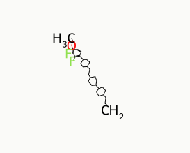 C=CCCC1CCC(C2CCC(CCC3CCC(c4ccc(OCC)c(F)c4F)CC3)CC2)CC1